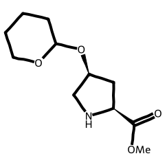 COC(=O)[C@@H]1C[C@H](OC2CCCCO2)CN1